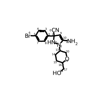 N#CC1(c2ccc(Br)cc2)C=C(N)N(C2CCC(CO)OC2)N1